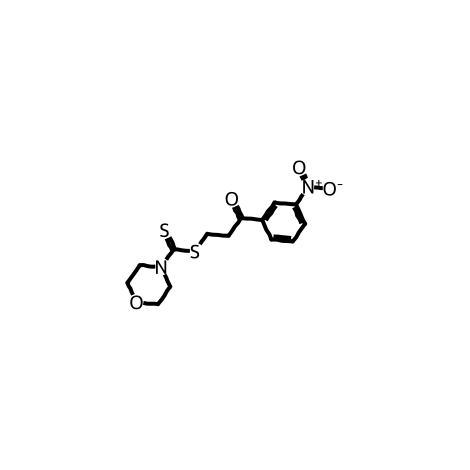 O=C(CCSC(=S)N1CCOCC1)c1cccc([N+](=O)[O-])c1